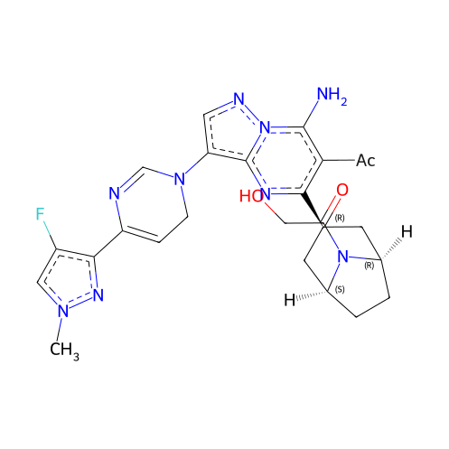 CC(=O)c1c([C@H]2C[C@H]3CC[C@@H](C2)N3C(=O)CO)nc2c(N3C=NC(c4nn(C)cc4F)=CC3)cnn2c1N